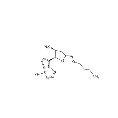 CCCCOC[C@@H]1C[C@H](C)[C@H](c2ccc3c(Cl)ncnn23)O1